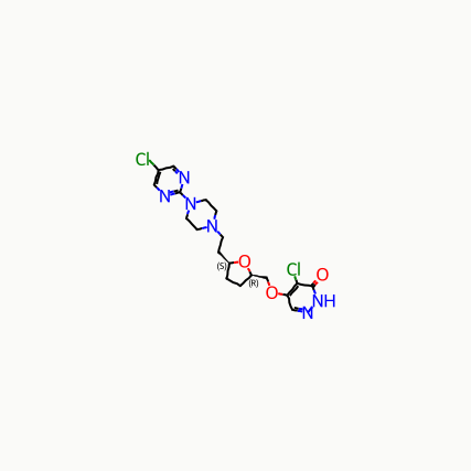 O=c1[nH]ncc(OC[C@H]2CC[C@@H](CCN3CCN(c4ncc(Cl)cn4)CC3)O2)c1Cl